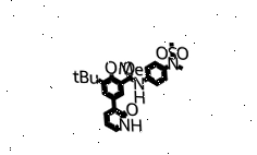 COc1c(C(=O)Nc2ccc(N(C)S(C)(=O)=O)cc2)cc(-c2ccc[nH]c2=O)cc1C(C)(C)C